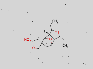 CCC1O[C@H](CC)C2C3CC4(COC(O)C4)C(O3)[C@H]12